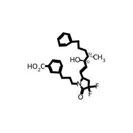 C[C@@H](CCCc1ccccc1)[C@H](O)C=CC1CC(F)(F)C(=O)N1CCCc1cccc(C(=O)O)c1